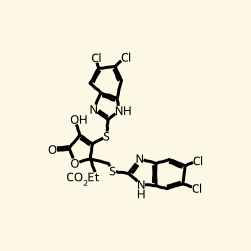 CCOC(=O)C1(CSc2nc3cc(Cl)c(Cl)cc3[nH]2)OC(=O)C(O)=C1Sc1nc2cc(Cl)c(Cl)cc2[nH]1